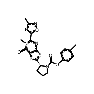 Cc1ccc(OC(=O)N2CCC[C@@H]2c2nc3c(=O)n(C)c(-c4nc(C)no4)nc3s2)cc1